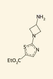 CCOC(=O)c1cnc(N2CC(N)C2)s1